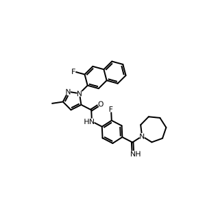 Cc1cc(C(=O)Nc2ccc(C(=N)N3CCCCCC3)cc2F)n(-c2cc3ccccc3cc2F)n1